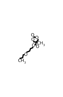 CCCCOCCCCOC(=O)C1(C)COC(=O)OC1